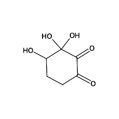 O=C1CCC(O)C(O)(O)C1=O